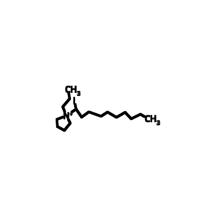 CCCCCCCCCC(I)[N+]1(CCC)CCCC1